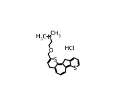 CN(C)CCOCC1=CCC2=CC=CC3=C4SC=CC=C4CC3=C2S1.Cl